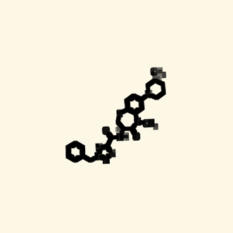 C[C@@H]1CCCN(c2ccc3c(c2)N(C)C(=O)[C@@H](NC(=O)c2nnn(Cc4ccccc4)n2)CS3)C1